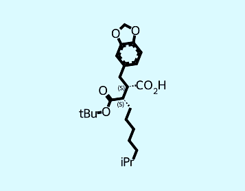 CC(C)CCCCC[C@H](C(=O)OC(C)(C)C)[C@H](Cc1ccc2c(c1)OCO2)C(=O)O